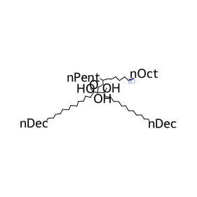 CCCCCCCC/C=C\CCCCCC(CCCCC)CC(=O)C(O)(C(O)CCCCCCCCCCCCCCCCCCCCCC)C(O)CCCCCCCCCCCCCCCCCCCCCC